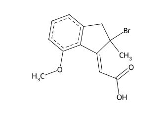 COc1cccc2c1C(=CC(=O)O)C(C)(Br)C2